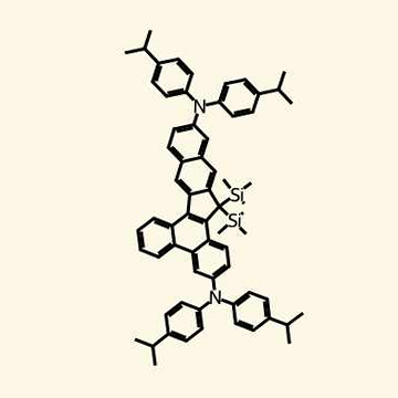 CC(C)c1ccc(N(c2ccc(C(C)C)cc2)c2ccc3cc4c(cc3c2)C([Si](C)(C)C)([Si](C)(C)C)c2c-4c3ccccc3c3cc(N(c4ccc(C(C)C)cc4)c4ccc(C(C)C)cc4)ccc23)cc1